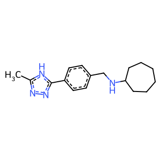 Cc1nnc(-c2ccc(CNC3CCCCCC3)cc2)[nH]1